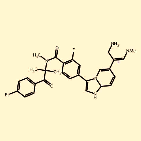 CCc1ccc(C(=O)C(C)(C)N(C)C(=O)c2ccc(C3=CNC4C=CC(/C(=C/NC)CN)=CN34)cc2F)cc1